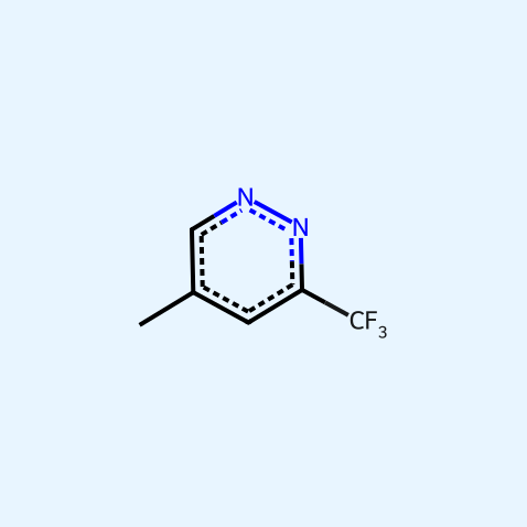 Cc1cnnc(C(F)(F)F)c1